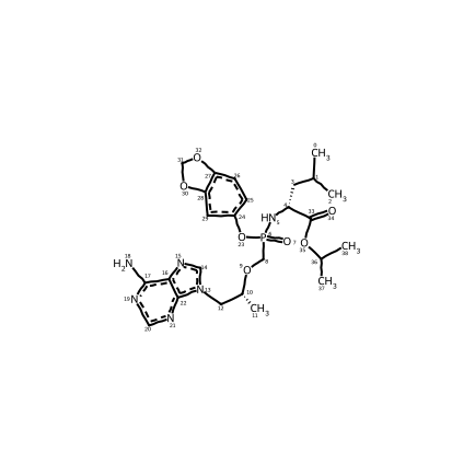 CC(C)C[C@@H](NP(=O)(CO[C@H](C)Cn1cnc2c(N)ncnc21)Oc1ccc2c(c1)OCO2)C(=O)OC(C)C